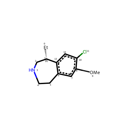 CC[C@H]1CNCCc2cc(OC)c(Cl)cc21